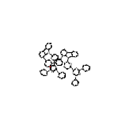 c1ccc(-c2nc(-c3ccccc3)nc(-c3cccc(-n4c5ccccc5c5cccc(-c6cccc(-c7cccc(-c8cccc9c%10ccccc%10n(-c%10cccc(-c%11nc(-c%12ccccc%12)nc(-c%12ccccc%12)n%11)n%10)c89)c7)c6)c54)n3)n2)cc1